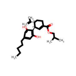 C=C(C)[C@@H]1CCC(C(=O)OCC(C)C)=C[C@H]1c1c(O)cc(CCCCC)cc1O